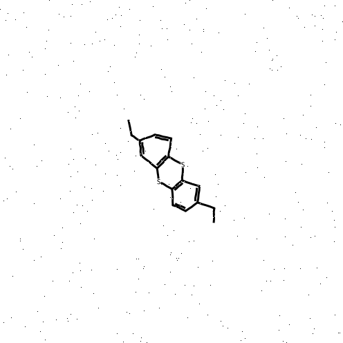 CCc1ccc2c(c1)Sc1ccc(CC)cc1S2